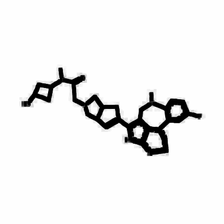 CN1Cc2c(C3=CC4CN(CC(=O)N(C)C5CC(O)C5)CC4C3)[nH]c3nccc(c23)-c2cc(F)ccc21